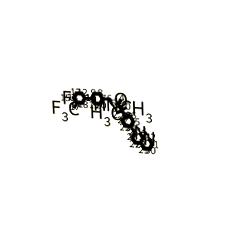 CC(C)(C(=O)NCc1ccc(-c2ccc(F)c(C(F)(F)F)c2)cc1)c1ccc(-c2ccc3cccnc3n2)cc1